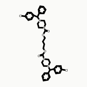 O=C(OCCCCOC(=O)N1CCN(C(c2ccccc2)c2ccc(Cl)cc2)CC1)N1CCN(C(c2ccccc2)c2ccc(Cl)cc2)CC1